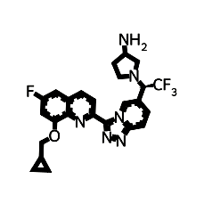 NC1CCN([C@H](c2ccc3nnc(-c4ccc5cc(F)cc(OCC6CC6)c5n4)n3c2)C(F)(F)F)C1